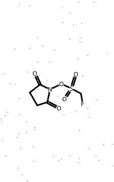 O=C1CCC(=O)N1OS(=O)(=O)CF